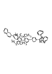 CC1(C)C2=C(c3ccc(-c4ccc(-c5nc6ncccn6c5-c5ccccc5)cc4)cc31)C(C)(C)c1cc(-c3ccc4ccccc4c3)ccc12